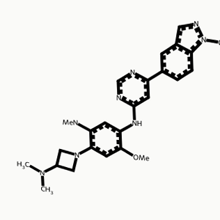 CNc1cc(Nc2cc(-c3ccc4c(cnn4C)c3)ncn2)c(OC)cc1N1CC(N(C)C)C1